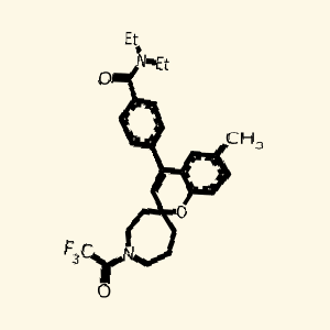 CCN(CC)C(=O)c1ccc(C2=CC3(CCCN(C(=O)C(F)(F)F)CC3)Oc3ccc(C)cc32)cc1